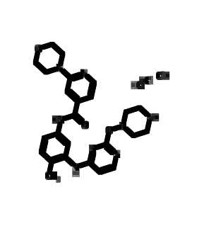 Cc1ccc(NC(=O)c2ccnc(N3CCOCC3)c2)cc1Nc1ccnc(ON2CCNCC2)n1.Cl.Cl.Cl